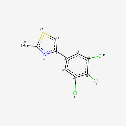 CC(C)(C)c1nc(-c2cc(Cl)c(Cl)c(Cl)c2)cs1